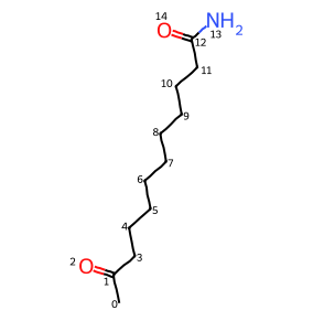 CC(=O)CCCCCCCCCC(N)=O